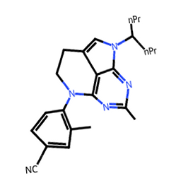 CCCC(CCC)n1cc2c3c(nc(C)nc31)N(c1ccc(C#N)cc1C)CC2